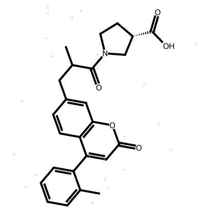 Cc1ccccc1-c1cc(=O)oc2cc(CC(C)C(=O)N3CC[C@H](C(=O)O)C3)ccc12